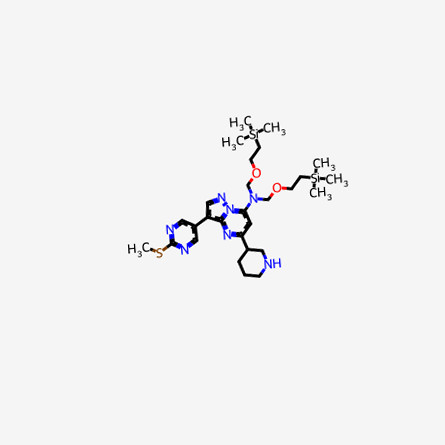 CSc1ncc(-c2cnn3c(N(COCC[Si](C)(C)C)COCC[Si](C)(C)C)cc(C4CCCNC4)nc23)cn1